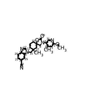 COc1cc(C)c(N2CC3(CCCC(C)(Cn4cnc5ccc(C#N)cc54)C3)OC2=O)cn1